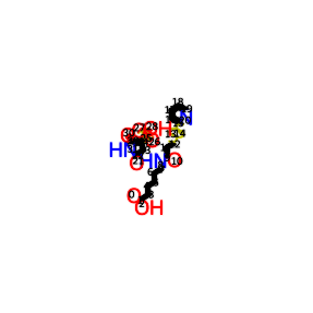 O=C(O)CCCCCNC(=O)CCSSc1ccccn1.O=C1CC(S(=O)(=O)O)C(=O)N1